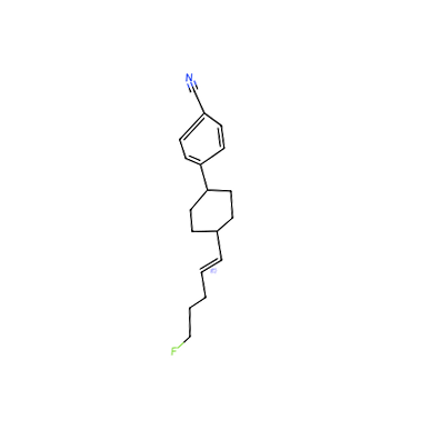 N#Cc1ccc(C2CCC(/C=C/CCCF)CC2)cc1